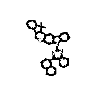 CC1(C)c2ccccc2-c2ccc3cc4c(cc3c21)c1ccccc1n4-c1nc(-c2cccc3ccccc23)c2ccccc2n1